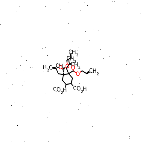 C=CCOC(=O)C1(CC(=C)C)CC(C(=O)O)C(C(=O)O)CC1(CC(=C)C)C(=O)OCC=C